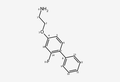 NCCOc1ccc(-c2ccccc2)c(F)c1